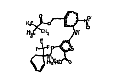 C[C@@H](Oc1cc(Nc2cc(COC(=O)C(C)(C)C)ccc2[N+](=O)[O-])sc1C(=O)O)C1(C(F)(F)F)C=CC=CC1